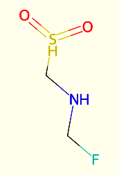 O=[SH](=O)CNCF